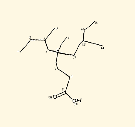 CCC(C)CC(C)(CCC(=O)O)CC(C)CC